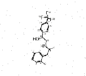 Cc1ccccc1CC(C)NC[C@H](O)c1ccc(C(F)(F)F)cc1